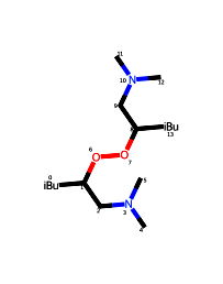 CCC(C)C(CN(C)C)OOC(CN(C)C)C(C)CC